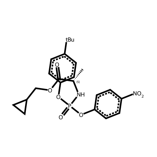 C[C@H](NP(=O)(Oc1ccc([N+](=O)[O-])cc1)Oc1ccc(C(C)(C)C)cc1)C(=O)OCC1CC1